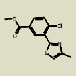 COC(=O)c1ccc(Cl)c(-c2nc(C)cs2)c1